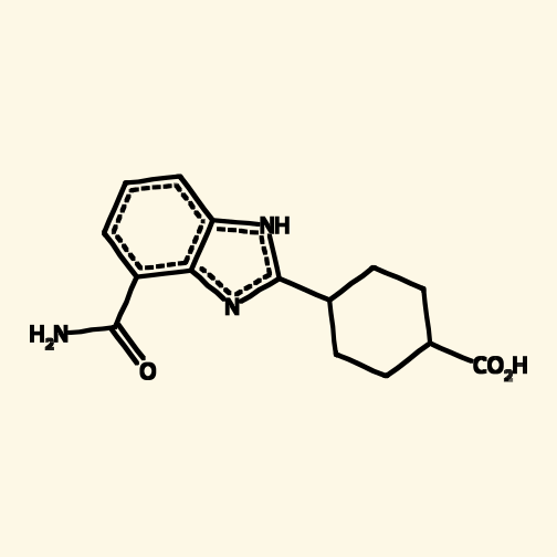 NC(=O)c1cccc2[nH]c(C3CCC(C(=O)O)CC3)nc12